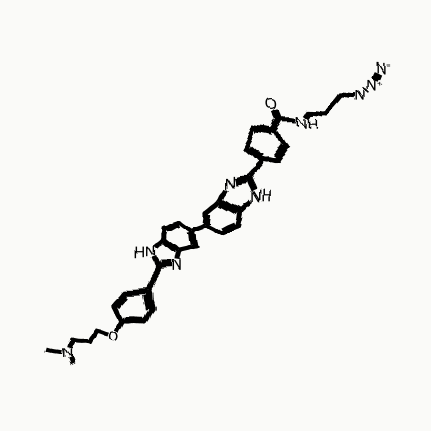 CN(C)CCCOc1ccc(-c2nc3cc(-c4ccc5[nH]c(-c6ccc(C(=O)NCCCN=[N+]=[N-])cc6)nc5c4)ccc3[nH]2)cc1